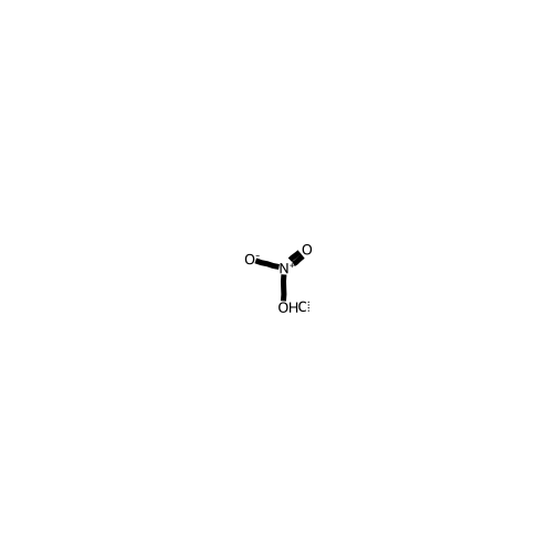 O=[N+]([O-])O.[C]